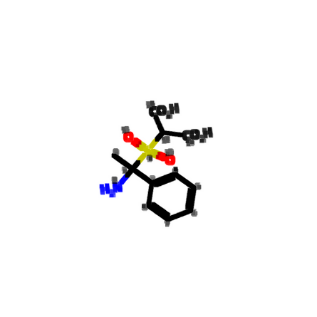 CC(N)(c1ccccc1)S(=O)(=O)C(C(=O)O)C(=O)O